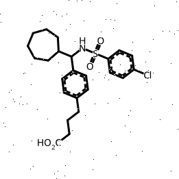 O=C(O)CCCc1ccc(C(NS(=O)(=O)c2ccc(Cl)cc2)C2CCCCCC2)cc1